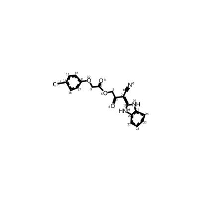 N#CC(C(=O)COC(=O)COc1ccc(Cl)cc1)=C1Nc2ccccc2N1